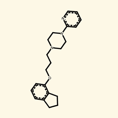 c1ccc(N2CCN(CCCOc3cccc4c3CCC4)CC2)nc1